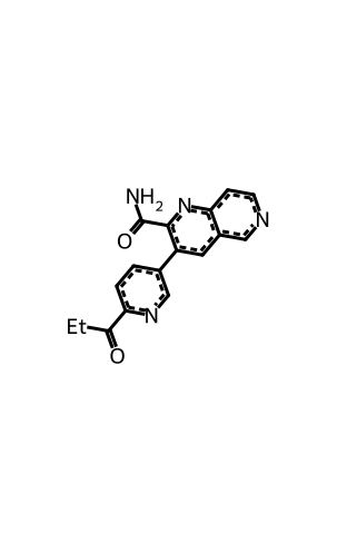 CCC(=O)c1ccc(-c2cc3cnccc3nc2C(N)=O)cn1